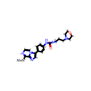 CNc1nccn2c(-c3ccc(NC(=O)NCCCN4CCOCC4)cc3)cnc12